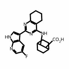 O=C(O)C1C2CCC(CC2)C1Nc1nc(-c2c[nH]c3ncc(F)cc23)nc2c1CCCC2